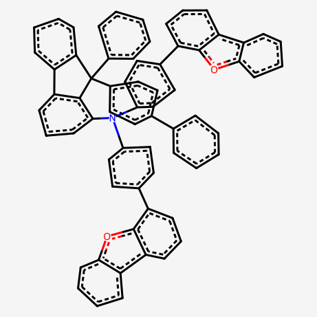 c1ccc(-c2ccc(C3(c4ccccc4)c4ccccc4-c4cccc(N(c5ccc(-c6cccc7c6oc6ccccc67)cc5)c5ccc(-c6cccc7c6oc6ccccc67)cc5)c43)cc2)cc1